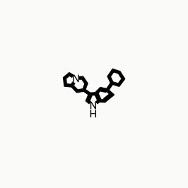 c1cc2[nH]cc(C3CCN4CCCC4C3)c2cc1C1CCCCC1